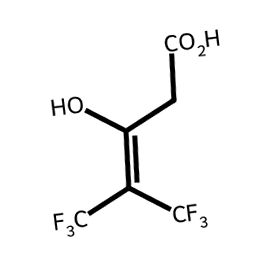 O=C(O)CC(O)=C(C(F)(F)F)C(F)(F)F